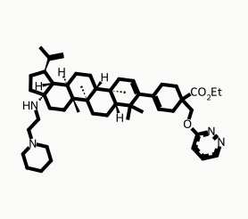 C=C(C)[C@@H]1CC[C@]2(NCCN3CCCCC3)CC[C@]3(C)[C@H](CC[C@@H]4[C@@]5(C)CC=C(C6=CCC(COc7cccnn7)(C(=O)OCC)CC6)C(C)(C)[C@@H]5CC[C@]43C)[C@@H]12